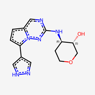 O[C@@H]1COCC[C@H]1Nc1ncc2ccc(-c3cn[nH]c3)n2n1